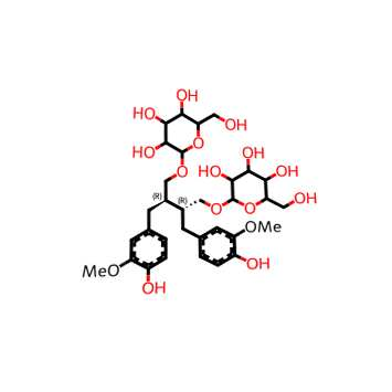 COc1cc(C[C@@H](COC2OC(CO)C(O)C(O)C2O)[C@H](COC2OC(CO)C(O)C(O)C2O)Cc2ccc(O)c(OC)c2)ccc1O